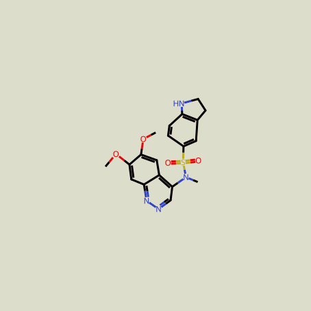 COc1cc2nncc(N(C)S(=O)(=O)c3ccc4c(c3)CCN4)c2cc1OC